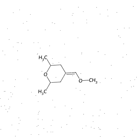 COC=C1CC(C)OC(C)C1